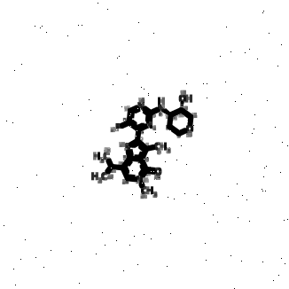 Cc1c(-c2nc(N[C@@H]3CCOC[C@H]3O)ncc2F)sc2c(C(C)C)cn(C)c(=O)c12